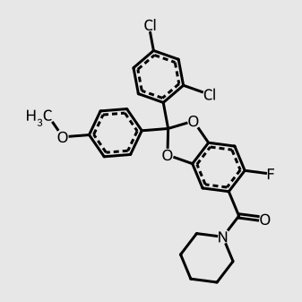 COc1ccc(C2(c3ccc(Cl)cc3Cl)Oc3cc(F)c(C(=O)N4CCCCC4)cc3O2)cc1